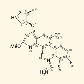 COc1nc(O[C@H]2CNC[C@H]2F)c2cc(C(F)(F)F)c(-c3ccc(F)c4sc(N)nc34)c(F)c2n1